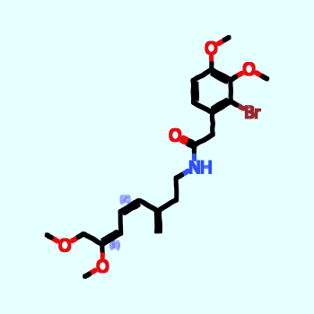 C=C(/C=C\C=C(/COC)OC)CCNC(=O)Cc1ccc(OC)c(OC)c1Br